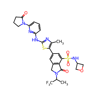 Cc1nc(Nc2cccc(N3CCCC3=O)n2)sc1-c1cc2c(c(S(=O)(=O)NC3COC3)c1)C(=O)N(C(C)C(F)(F)F)C2